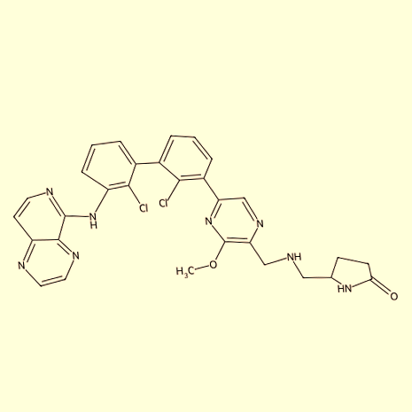 COc1nc(-c2cccc(-c3cccc(Nc4nccc5nccnc45)c3Cl)c2Cl)cnc1CNCC1CCC(=O)N1